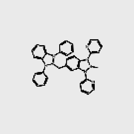 CB1N(c2ccccn2)c2ccc(CB3N(c4ccccc4)c4ccccc4N3c3ccccc3)cc2N1c1ccccn1